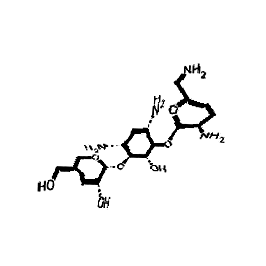 NCC1=CC[C@@H](N)[C@@H](OC2[C@@H](N)C[C@@H](N)[C@H](O[C@H]3OC/C(=C/O)C[C@H]3O)[C@H]2O)O1